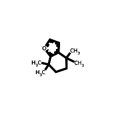 CC1(C)CCC(C)(C)c2occc21